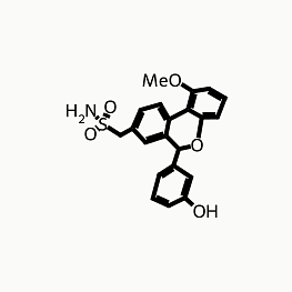 COc1cccc2c1-c1ccc(CS(N)(=O)=O)cc1C(c1cccc(O)c1)O2